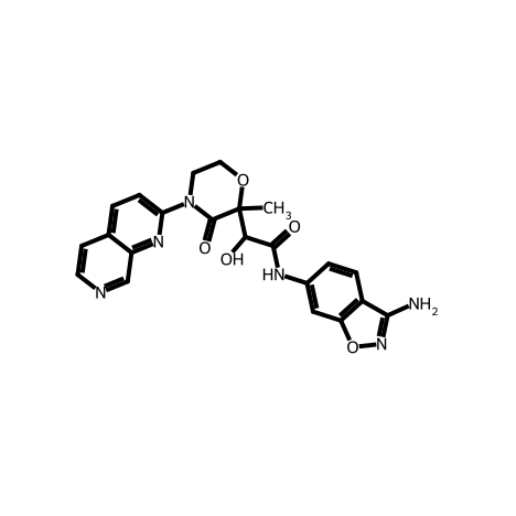 CC1(C(O)C(=O)Nc2ccc3c(N)noc3c2)OCCN(c2ccc3ccncc3n2)C1=O